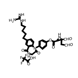 N=C(N)NCCCCCc1ccc2c(c1)C(=O)NCC(=O)N2c1ccc(OC(=O)C2NC2(C=O)CC=O)cc1.O=C(O)C(F)(F)F